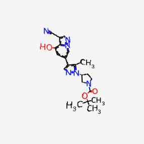 Cc1c(-c2cc(O)c3c(C#N)cnn3c2)cnn1[C@@H]1CCN(C(=O)OC(C)(C)C)C1